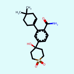 CC1(C)CC=C(c2cc(C3(O)CCS(=O)(=O)CC3)ccc2C(N)=O)CC1